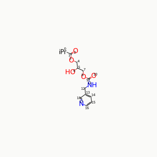 CC(C)C(=O)OCC(O)COC(=O)NCc1cccnc1